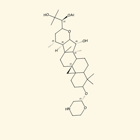 CC(=O)O[C@@H](C1C[C@@H](C)[C@H]2C(O1)[C@H](O)[C@@]1(C)C3CCC4C(C)(C)C(O[C@H]5CNCCO5)CCC45C[C@@]35CCC21C)C(C)(C)O